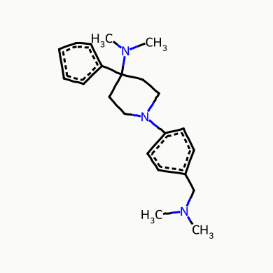 CN(C)Cc1ccc(N2CCC(c3ccccc3)(N(C)C)CC2)cc1